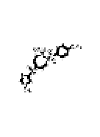 COc1ccc(S(=O)(=O)N2C=CC(S(=O)(=O)c3cn(C)cn3)=CCN2C(=O)O)cc1